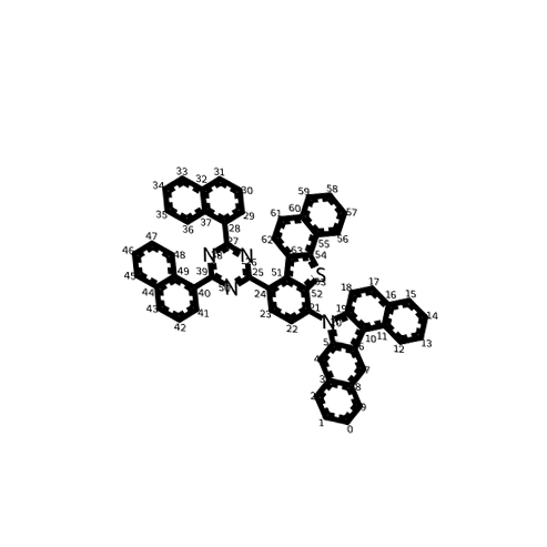 c1ccc2cc3c(cc2c1)c1c2ccccc2ccc1n3-c1ccc(-c2nc(-c3cccc4ccccc34)nc(-c3cccc4ccccc34)n2)c2c1sc1c3ccccc3ccc12